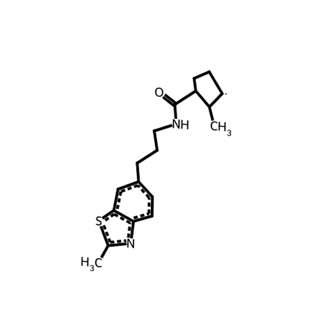 Cc1nc2ccc(CCCNC(=O)C3CC[CH]C3C)cc2s1